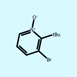 CC(C)(C)c1c(Br)ccc[n+]1[O-]